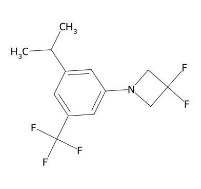 CC(C)c1cc(N2CC(F)(F)C2)cc(C(F)(F)F)c1